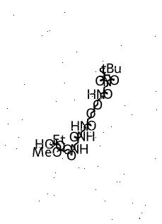 CCC(CO)OC(COC(=O)NCCC(=O)NCCNC(=O)CCOCCOCCNC(=O)CCN1C(=O)CC(SC(C)(C)C)C1=O)OC